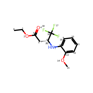 CCOC(=O)C[C@@H](Nc1ccccc1OC)C(F)(F)F